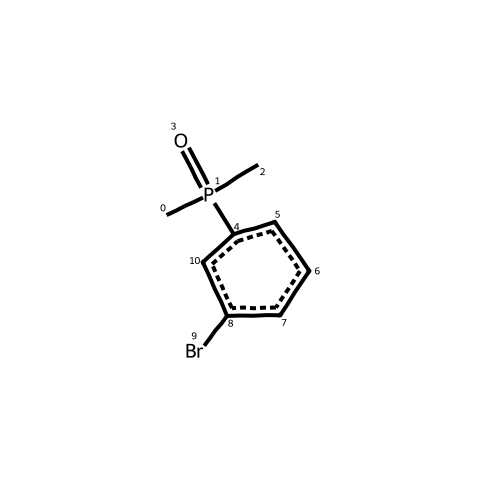 CP(C)(=O)c1cccc(Br)c1